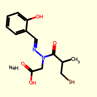 CC(CS)C(=O)N(CC(=O)O)N=Cc1ccccc1O.[NaH]